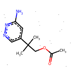 CC(=O)OCC(C)(C)c1cnnc(N)c1